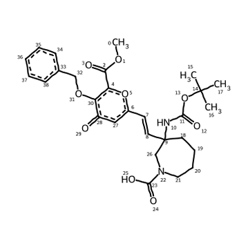 COC(=O)c1oc(C=CC2(NC(=O)OC(C)(C)C)CCCCN(C(=O)O)C2)cc(=O)c1OCc1ccccc1